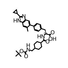 Cc1cc2[nH]c(C3CC3)nc2cc1-c1ccc(C[C@H](NC(=O)C2CCC(CNC(=O)OC(C)(C)C)CC2)C(=O)O)cc1